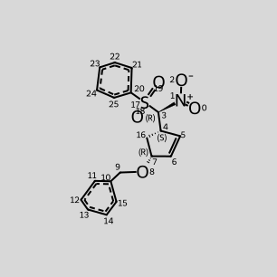 O=[N+]([O-])[C@@H]([C@@H]1C=C[C@H](OCc2ccccc2)C1)S(=O)(=O)c1ccccc1